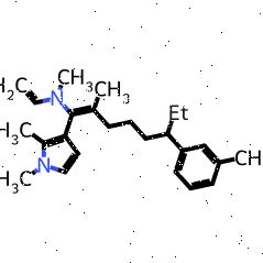 C=CN(C)/C(=C(\C)CCCC(CC)c1cccc(C)c1)c1ccn(C)c1C